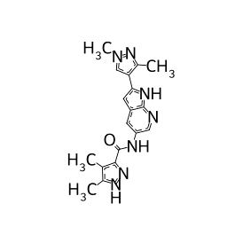 Cc1nn(C)cc1-c1cc2cc(NC(=O)c3n[nH]c(C)c3C)cnc2[nH]1